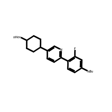 CCCCCCC1CCC(c2ccc(-c3ccc(CCCC)cc3F)nc2)CC1